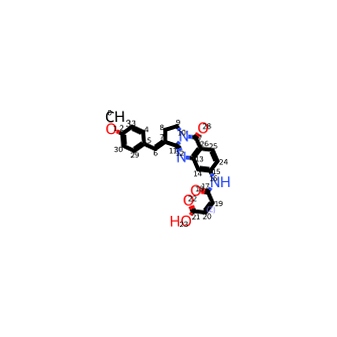 COc1ccc(C=C2CCn3c2nc2cc(NC(=O)/C=C\C(=O)O)ccc2c3=O)cc1